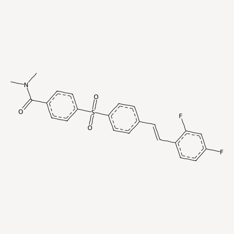 CN(C)C(=O)c1ccc(S(=O)(=O)c2ccc(C=Cc3ccc(F)cc3F)cc2)cc1